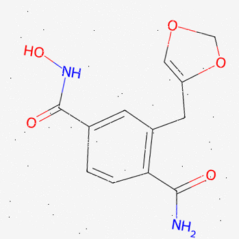 NC(=O)c1ccc(C(=O)NO)cc1CC1=COCO1